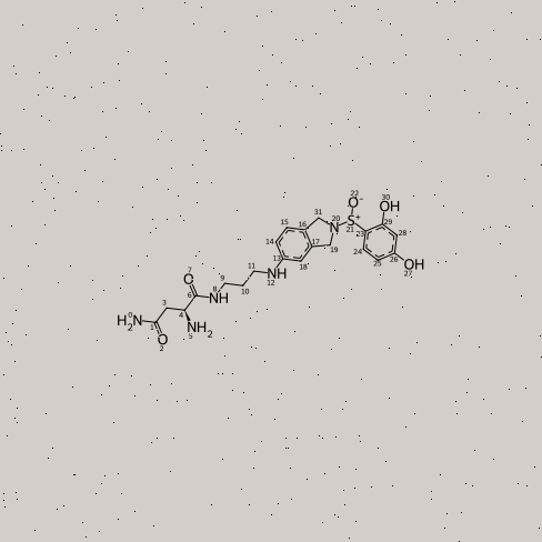 NC(=O)C[C@H](N)C(=O)NCCCNc1ccc2c(c1)CN([S+]([O-])c1ccc(O)cc1O)C2